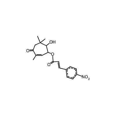 CC1=CC(OC(=O)C=Cc2ccc([N+](=O)[O-])cc2)C(O)C(C)(C)CC1=O